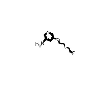 Nc1cncc(OCCOCCF)c1